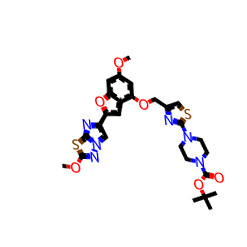 COc1cc(OCc2csc(N3CCN(C(=O)OC(C)(C)C)CC3)n2)c2cc(-c3cn4nc(OC)sc4n3)oc2c1